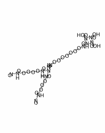 O=C(O)CN1CCN(CC(=O)O)CCN(CC(=O)NCCOCCOCCOCCOCCOCCOCCOCCn2cc(CN(CCC(=O)NCCOCCOCCOCCOCCC(=O)NCCCN3C=CC=CC3)CCC(=O)NCCOCCOCCOCCC(=O)NCCCN3C=CC=CC3)nn2)CCN(CC(=O)O)CC1